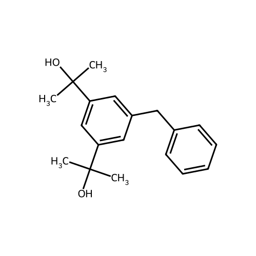 CC(C)(O)c1cc(Cc2ccccc2)cc(C(C)(C)O)c1